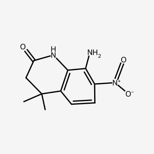 CC1(C)CC(=O)Nc2c1ccc([N+](=O)[O-])c2N